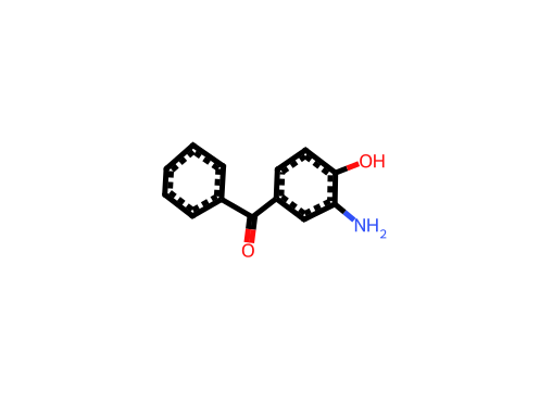 Nc1cc(C(=O)c2ccccc2)ccc1O